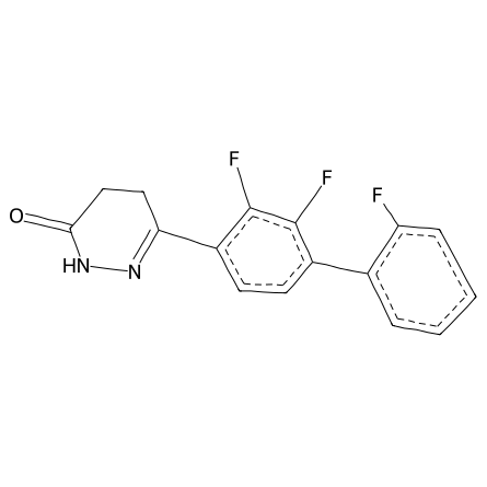 O=C1CCC(c2ccc(-c3ccccc3F)c(F)c2F)=NN1